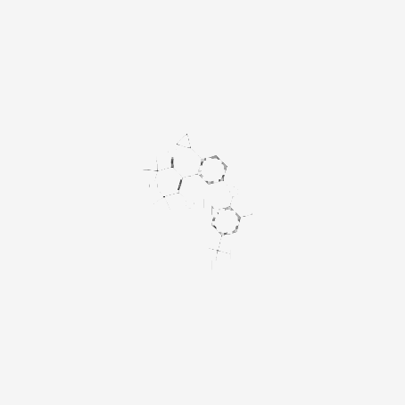 CC1(C)OC(C)(C)C(O)=C(c2cc(Oc3ncc(C(F)(F)F)cc3Cl)ccc2C2CC2)C1=O